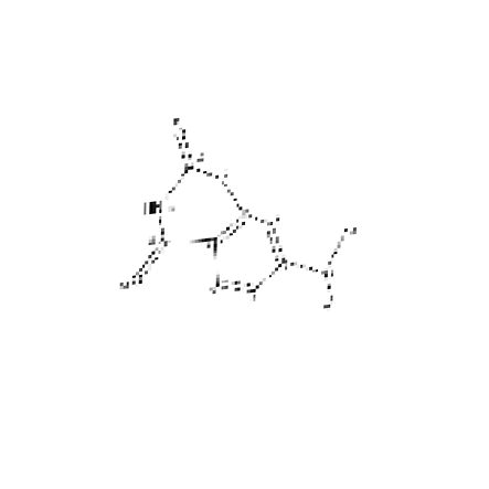 CC(C)c1ccc2c(c1)CC(=O)NC2=O